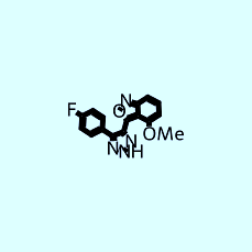 COc1cccc2noc(-c3n[nH]nc3-c3ccc(F)cc3)c12